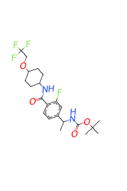 CC(NC(=O)OC(C)(C)C)c1ccc(C(=O)NC2CCC(OCC(F)(F)F)CC2)c(F)c1